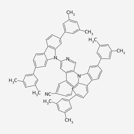 Cc1cc(C)cc(-c2ccc3c4ccc(-c5cc(C)cc(C)c5)cc4n(-c4cc(-c5cccc(C#N)c5)c(-n5c6cc(-c7cc(C)cc(C)c7)ccc6c6ccc(-c7cc(C)cc(C)c7)cc65)cn4)c3c2)c1